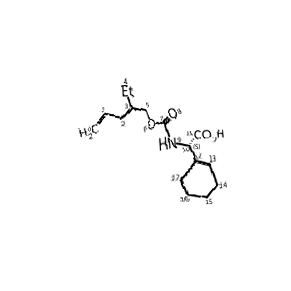 C=CCC(CC)COC(=O)N[C@H](C(=O)O)C1CCCCC1